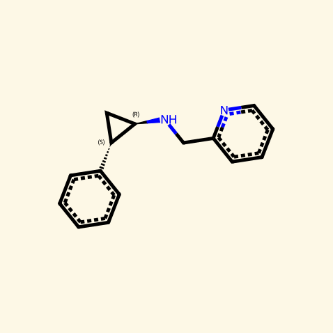 c1ccc([C@@H]2C[C@H]2NCc2ccccn2)cc1